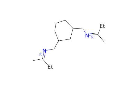 CC/C(C)=N\CC1CCCC(C/N=C(/C)CC)C1